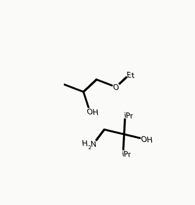 CC(C)C(O)(CN)C(C)C.CCOCC(C)O